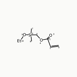 C=CC(=O)OC[Si](C)(C)OCC